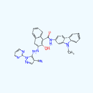 Cn1c2ccccc2c2ccc(NC(=O)c3c(O)c(/N=N/c4c(C#N)cnn4-c4ncccn4)cc4ccccc34)cc21